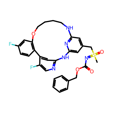 CS(=O)(Cc1cc2nc(c1)Nc1cc(c(F)cn1)-c1ccc(F)cc1OCCCCN2)=NC(=O)OCc1ccccc1